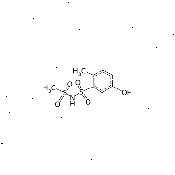 Cc1ccc(O)cc1S(=O)(=O)NS(C)(=O)=O